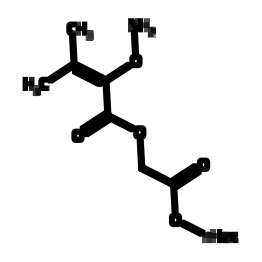 CCCCCCOC(=O)COC(=O)C(ON)=C(C)C